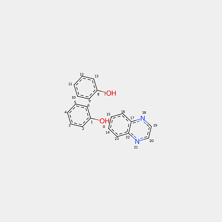 Oc1ccccc1.Oc1ccccc1.c1ccc2nccnc2c1